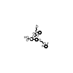 COCCCN1C(=O)C(COC2CN(C(=O)O)CCC2c2ccc(OCCCOc3c(F)cccc3F)cc2)Oc2ccccc21